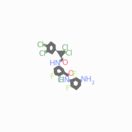 Nc1ccc(F)c(NC(=O)c2cc(NC(=O)[C@H]3[C@H](c4ccc(Cl)c(Cl)c4)C3(Cl)Cl)cc(F)c2Cl)c1F